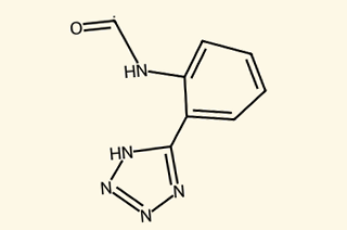 O=[C]Nc1ccccc1-c1nnn[nH]1